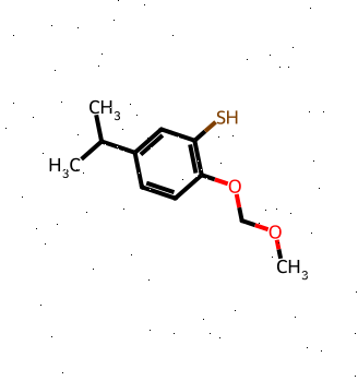 COCOc1ccc(C(C)C)cc1S